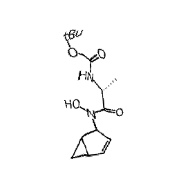 C[C@@H](NC(=O)OC(C)(C)C)C(=O)N(O)C1C=CC2CC21